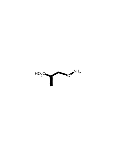 C=C(CON)C(=O)O